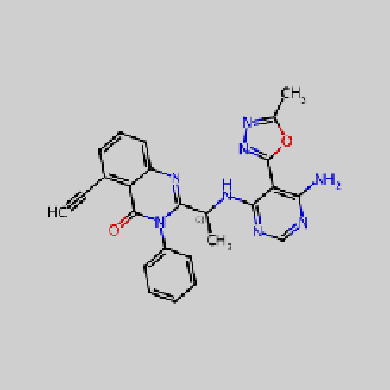 C#Cc1cccc2nc([C@H](C)Nc3ncnc(N)c3-c3nnc(C)o3)n(-c3ccccc3)c(=O)c12